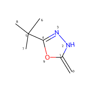 C=C1NN=C(C(C)(C)C)O1